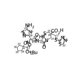 CC(C)(C)OC(=O)C1(ON=C(C(=O)NC2C(=O)N3CC(CSc4nncs4)(C(=O)O)CS[C@H]23)c2nsc(N)n2)CCCC1